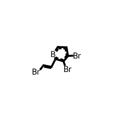 BrC=Cc1bccc(Br)c1Br